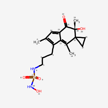 CC1=C(CCCNS(=O)(=O)NO)C2=C(C)C3(CC3)[C@@](C)(O)C(=O)C2=C1